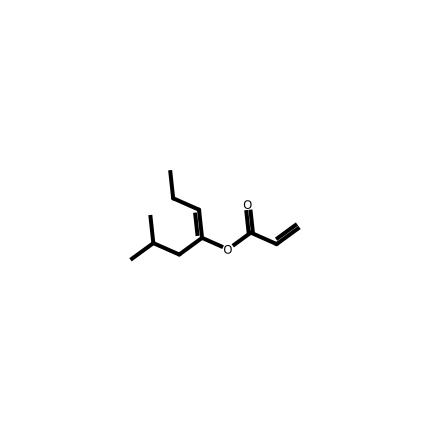 C=CC(=O)OC(=CCC)CC(C)C